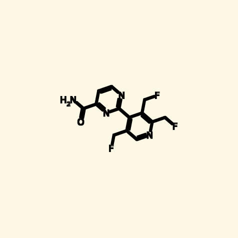 NC(=O)c1ccnc(-c2c(CF)cnc(CF)c2CF)n1